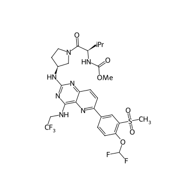 COC(=O)N[C@@H](C(=O)N1CC[C@H](Nc2nc(NCC(F)(F)F)c3nc(-c4ccc(OC(F)F)c(S(C)(=O)=O)c4)ccc3n2)C1)C(C)C